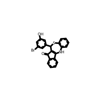 O=C1C2=C(Nc3ccccc3SC2c2cc(O)cc(Br)c2)c2ccccc21